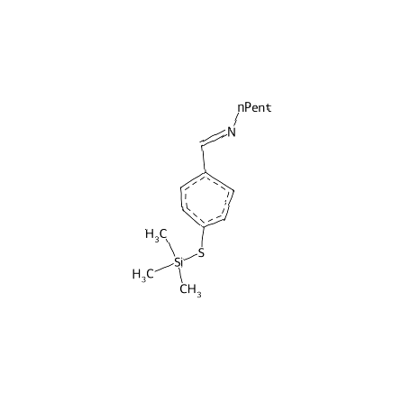 CCCCCN=Cc1ccc(S[Si](C)(C)C)cc1